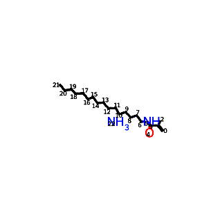 C=C(C)C(=O)NCCCCCCCCCCCCCCCC.N